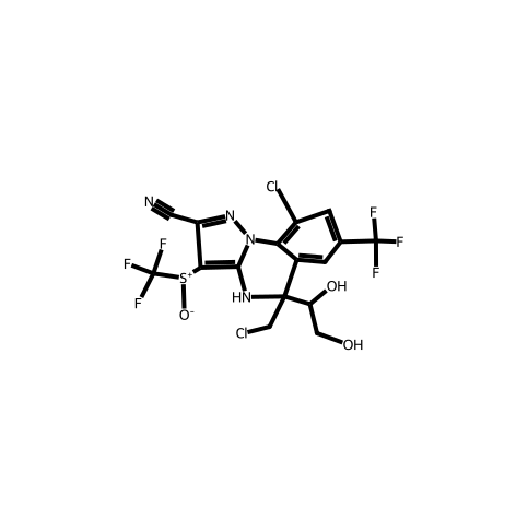 N#Cc1nn2c(c1[S+]([O-])C(F)(F)F)NC(CCl)(C(O)CO)c1cc(C(F)(F)F)cc(Cl)c1-2